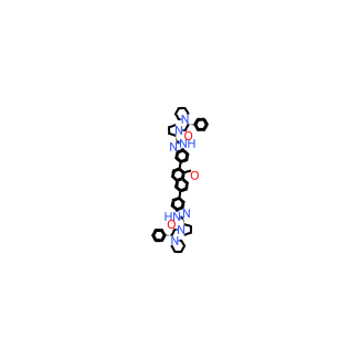 O=Cc1c(-c2ccc3[nH]c([C@@H]4CCCN4C(=O)[C@@H](c4ccccc4)N4CCCCC4)nc3c2)ccc2cc(-c3ccc4[nH]c([C@@H]5CCCN5C(=O)[C@@H](c5ccccc5)N5CCCCC5)nc4c3)ccc12